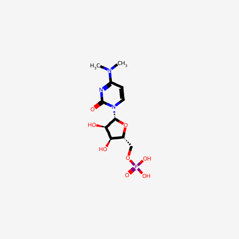 CN(C)c1ccn([C@@H]2O[C@H](COP(=O)(O)O)[C@@H](O)[C@H]2O)c(=O)n1